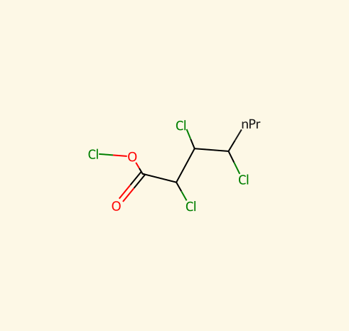 CCCC(Cl)C(Cl)C(Cl)C(=O)OCl